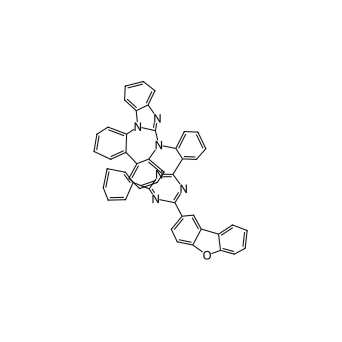 c1ccc(-c2nc(-c3ccc4oc5ccccc5c4c3)nc(-c3ccccc3N3c4ccccc4-c4ccccc4-n4c3nc3ccccc34)n2)cc1